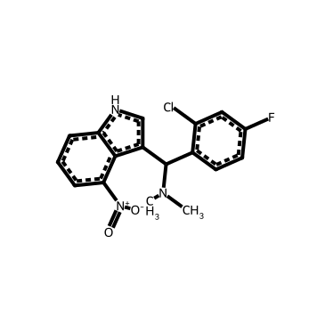 CN(C)C(c1ccc(F)cc1Cl)c1c[nH]c2cccc([N+](=O)[O-])c12